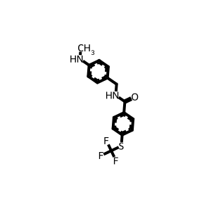 CNc1ccc(CNC(=O)c2ccc(SC(F)(F)F)cc2)cc1